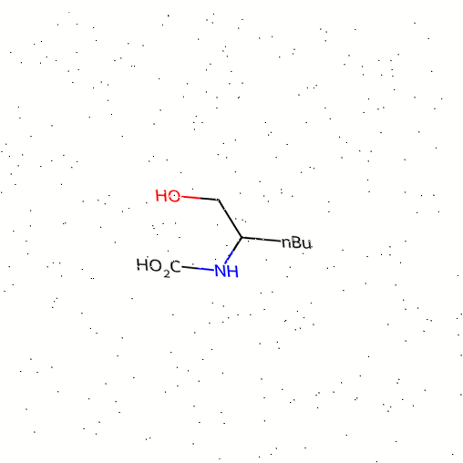 CCCCC(CO)NC(=O)O